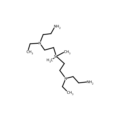 CCN(CCN)CC[Si](C)(C)CCN(CC)CCN